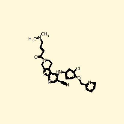 CN(C)CC=CC(=O)N1CCc2c(sc3ncc(C#N)c(Nc4ccc(OCc5ccccn5)c(Cl)c4)c23)C1